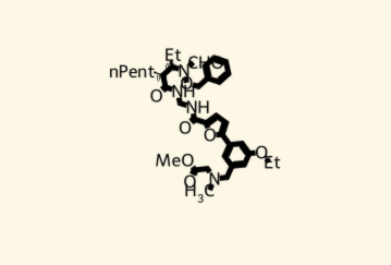 CCCCC[C@@H](C(=O)NCNC(=O)c1ccc(-c2cc(CN(C)CC(=O)OC)cc(OCC)c2)o1)[C@@H](CC)N(C=O)OCc1ccccc1